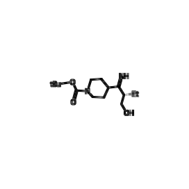 CC[C@H](CO)C(=N)C1CCN(C(=O)OC(C)(C)C)CC1